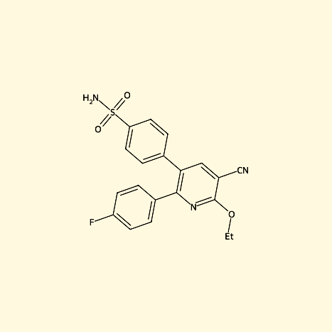 CCOc1nc(-c2ccc(F)cc2)c(-c2ccc(S(N)(=O)=O)cc2)cc1C#N